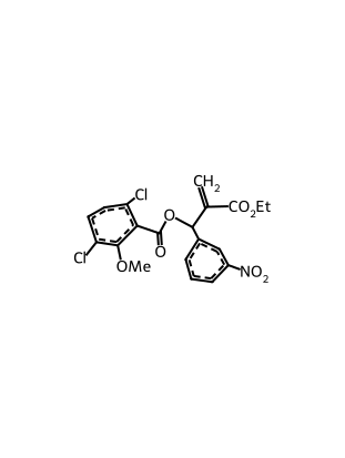 C=C(C(=O)OCC)C(OC(=O)c1c(Cl)ccc(Cl)c1OC)c1cccc([N+](=O)[O-])c1